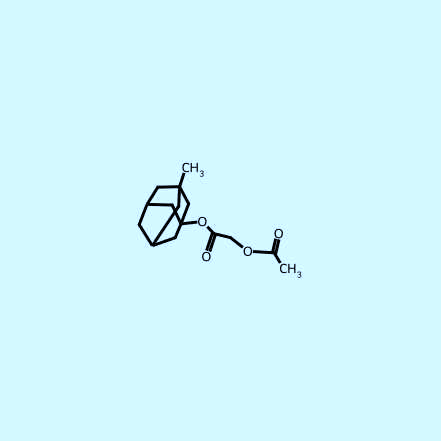 CC(=O)OCC(=O)OC12CC3CC(CC(C)(C3)C1)C2